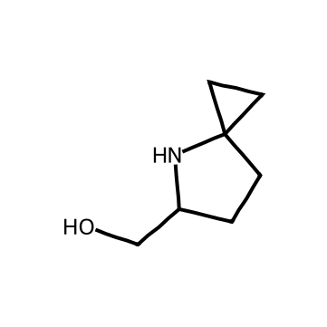 OCC1CCC2(CC2)N1